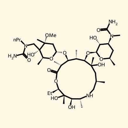 CCCN(C[C@]1(O)[C@H](C)O[C@@H](O[C@H]2[C@H](C)[C@@H](O[C@@H]3O[C@H](C)C[C@H](N(C)C(N)=O)[C@H]3O)[C@](C)(O)C[C@@H](C)CN[C@H](C)[C@@H](O)[C@](C)(O)[C@@H](CC)OC(=O)[C@@H]2C)C[C@@]1(C)OC)C(N)=O